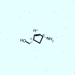 N[C@H]1C=C[C@@H](CO)C1.[H+]